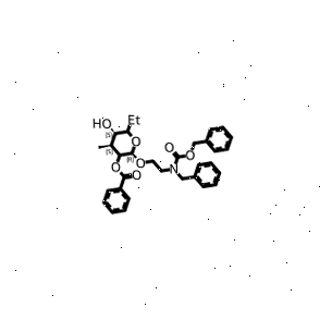 CCC1O[C@@H](OCCN(Cc2ccccc2)C(=O)OCc2ccccc2)C(OC(=O)c2ccccc2)[C@@H](C)[C@@H]1O